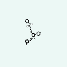 Cc1cccc(/C=N/Nc2cc(N3CCOCC3)cc(OCCCC(=O)NC3CCCCC3)n2)c1